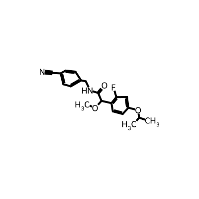 COC(C(=O)NCc1ccc(C#N)cc1)c1ccc(OC(C)C)cc1F